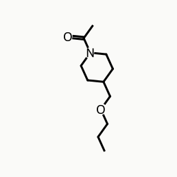 CCCOCC1CCN(C(C)=O)CC1